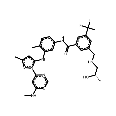 CNc1cc(-n2nc(C)cc2Nc2cc(NC(=O)c3cc(CNC[C@H](C)O)cc(C(F)(F)F)c3)ccc2C)ncn1